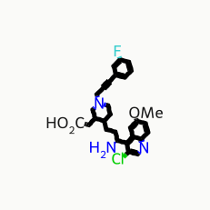 COc1ccc2ncc(Cl)c([C@H](N)CCC3CCN(CC#Cc4cccc(F)c4)CC3CC(=O)O)c2c1